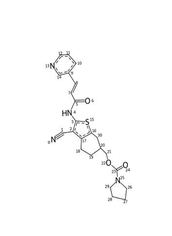 N#Cc1c(NC(=O)/C=C/c2cccnc2)sc2c1CCC(COC(=O)N1CCCC1)C2